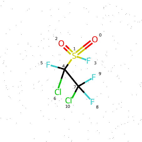 O=S(=O)(F)C(F)(Cl)C(F)(F)Cl